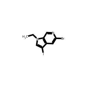 CCn1cc(I)c2cc(Br)ncc21